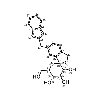 OC[C@H]1S[C@]2(OCc3ccc(Cc4cc5ccccc5s4)cc32)[C@H](O)[C@@H](O)[C@@H]1O